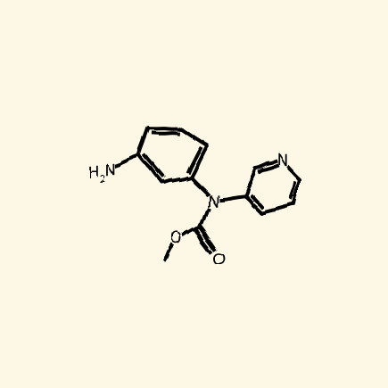 COC(=O)N(c1cccnc1)c1cccc(N)c1